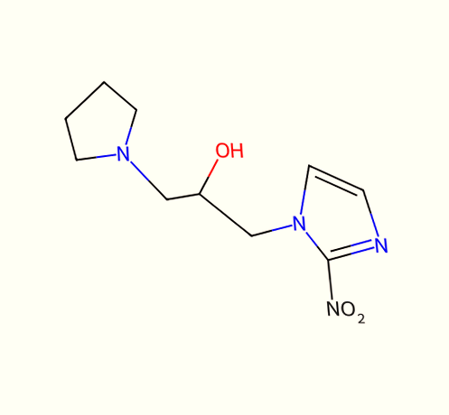 O=[N+]([O-])c1nccn1CC(O)CN1CCCC1